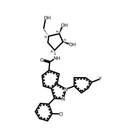 O=C(N[C@@H]1C[C@H](CO)[C@@H](O)[C@H]1O)c1ccc2c(-c3ccccc3Cl)nn(-c3ccc(F)cc3)c2c1